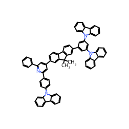 CC1(C)c2cc(-c3cc(-n4c5ccccc5c5ccccc54)cc(-n4c5ccccc5c5ccccc54)c3)ccc2-c2ccc(-c3cc(-c4ccccc4)nc(-c4ccc(-n5c6ccccc6c6ccccc65)cc4)c3)cc21